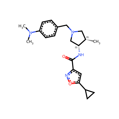 C[C@H]1CN(Cc2ccc(N(C)C)cc2)C[C@H]1NC(=O)c1cc(C2CC2)on1